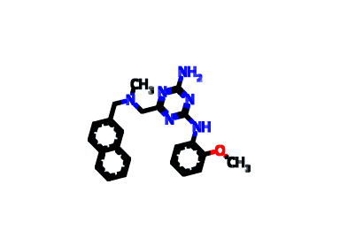 COc1ccccc1Nc1nc(N)nc(CN(C)Cc2ccc3ccccc3c2)n1